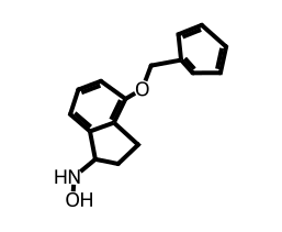 ONC1CCc2c(OCc3ccccc3)cccc21